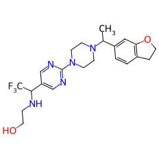 CC(c1ccc2c(c1)OCC2)N1CCN(c2ncc(C(NCCO)C(F)(F)F)cn2)CC1